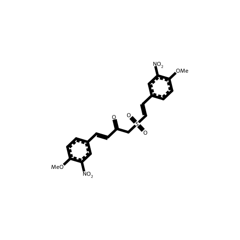 COc1ccc(C=CC(=O)CS(=O)(=O)C=Cc2ccc(OC)c([N+](=O)[O-])c2)cc1[N+](=O)[O-]